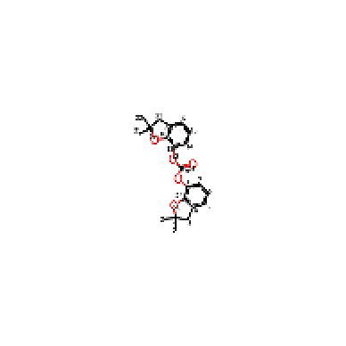 CC1(C)Cc2cccc(OC(=O)Oc3cccc4c3OC(C)(C)C4)c2O1